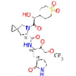 O=C1NCC[C@H]1C[C@H](NC(=O)[C@@H]1CC2(CC2)CN1C(=O)C(O)C1CCS(=O)(=O)CC1)C(=O)COC(F)(F)F